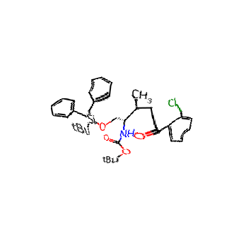 C[C@@H](CC(=O)c1ccccc1Cl)[C@@H](CO[Si](c1ccccc1)(c1ccccc1)C(C)(C)C)NC(=O)OC(C)(C)C